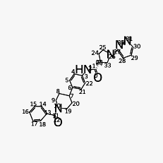 O=C(Nc1ccc(C2CCN(C(=O)c3ccccc3)CC2)cc1)[C@@H]1CCN(c2cccnn2)C1